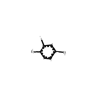 CCc1ccc(CC)c(I)c1